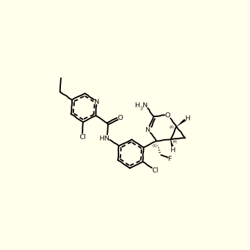 CCc1cnc(C(=O)Nc2ccc(Cl)c([C@@]3(CF)N=C(N)O[C@@H]4C[C@@H]43)c2)c(Cl)c1